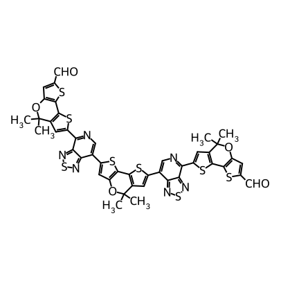 CC1(C)Oc2cc(-c3cnc(-c4cc5c(s4)-c4sc(C=O)cc4OC5(C)C)c4nsnc34)sc2-c2sc(-c3cnc(-c4cc5c(s4)-c4sc(C=O)cc4OC5(C)C)c4nsnc34)cc21